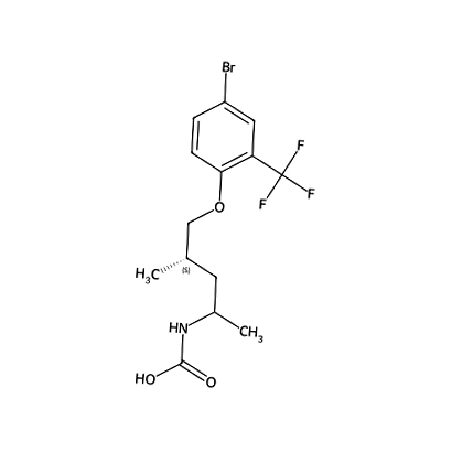 CC(C[C@H](C)COc1ccc(Br)cc1C(F)(F)F)NC(=O)O